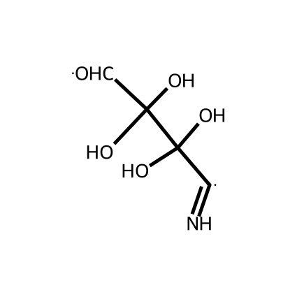 N=[C]C(O)(O)C(O)(O)[C]=O